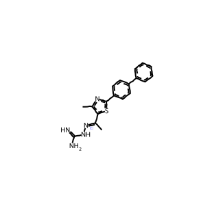 C/C(=N\NC(=N)N)c1sc(-c2ccc(-c3ccccc3)cc2)nc1C